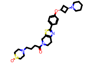 O=C(CCCN1CC[S+]([O-])CC1)N1CCc2nc(-c3ccc(O[C@H]4C[C@H](N5CCCCC5)C4)cc3)sc2C1